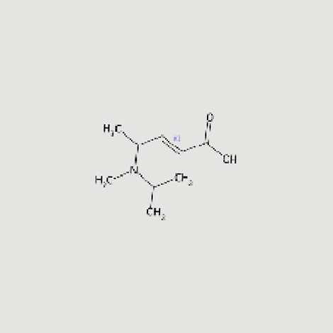 CC(C)N(C)C(C)/C=C/C(=O)O